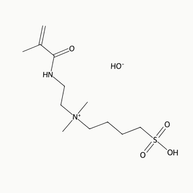 C=C(C)C(=O)NCC[N+](C)(C)CCCCS(=O)(=O)O.[OH-]